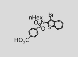 CCCCCCN(c1sc2ccccc2c1Br)S(=O)(=O)c1ccc(C(=O)O)cc1